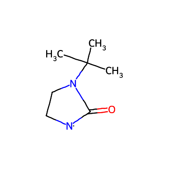 CC(C)(C)N1CC[N]C1=O